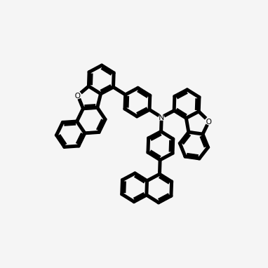 c1ccc2c(-c3ccc(N(c4ccc(-c5cccc6oc7c8ccccc8ccc7c56)cc4)c4cccc5oc6ccccc6c45)cc3)cccc2c1